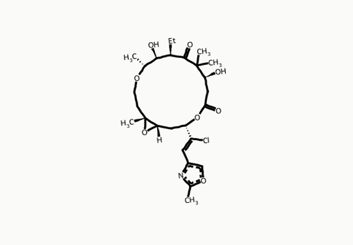 CC[C@H]1C(=O)C(C)(C)[C@@H](O)CC(=O)O[C@H](C(Cl)=Cc2coc(C)n2)C[C@@H]2O[C@]2(C)CCO[C@H](C)[C@H]1O